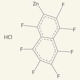 Cl.Fc1c(F)c(F)c2c(F)[c]([Zn])c(F)c(F)c2c1F